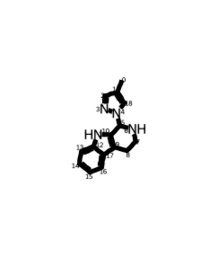 Cc1cnn(C2NCCc3c2[nH]c2ccccc32)c1